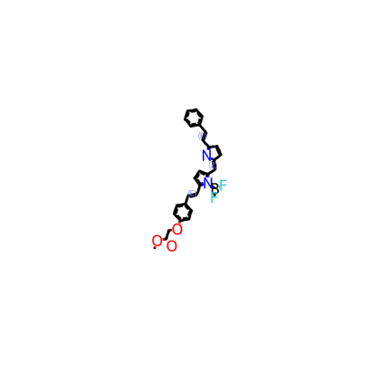 COC(=O)COc1ccc(/C=C/c2ccc(/C=C3/C=CC(/C=C/c4ccccc4)=N3)n2B(F)F)cc1